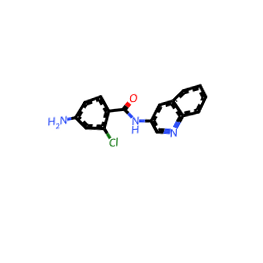 Nc1ccc(C(=O)Nc2cnc3ccccc3c2)c(Cl)c1